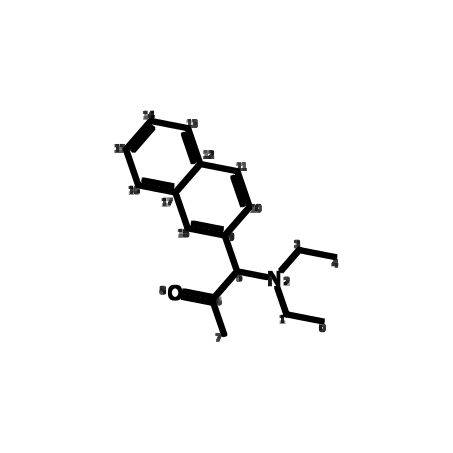 CCN(CC)C(C(C)=O)c1ccc2ccccc2c1